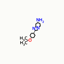 CC(C)Oc1ccc(-c2cn3ccc(N)cc3n2)cc1